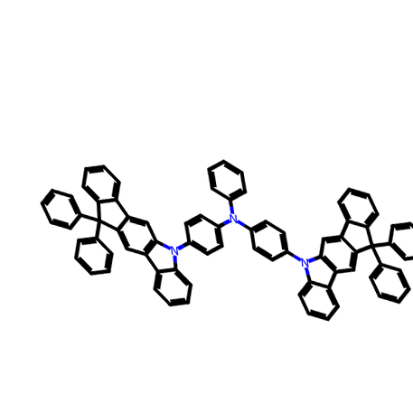 c1ccc(N(c2ccc(-n3c4ccccc4c4cc5c(cc43)-c3ccccc3C5(c3ccccc3)c3ccccc3)cc2)c2ccc(-n3c4ccccc4c4cc5c(cc43)-c3ccccc3C5(c3ccccc3)c3ccccc3)cc2)cc1